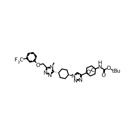 Cn1c(COc2cccc(C(F)(F)F)c2)nnc1[C@H]1CC[C@H](n2cc(C34CCC(NC(=O)OC(C)(C)C)(CC3)CO4)nn2)CC1